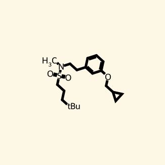 CN(CCc1cccc(OCC2CC2)c1)S(=O)(=O)CCCC(C)(C)C